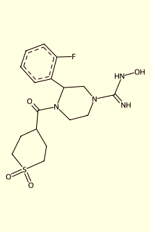 N=C(NO)N1CCN(C(=O)C2CCS(=O)(=O)CC2)C(c2ccccc2F)C1